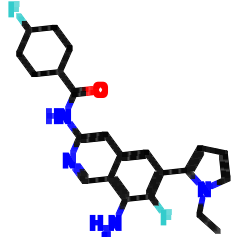 CCn1cccc1-c1cc2cc(NC(=O)C3CCC(F)CC3)ncc2c(N)c1F